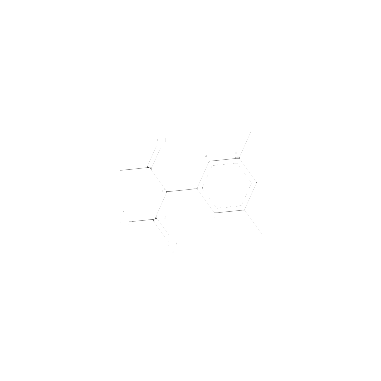 CC(=O)C(C(=O)O)c1cc(C)cc(C)c1